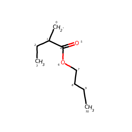 [CH2]C(CC)C(=O)OCCCC